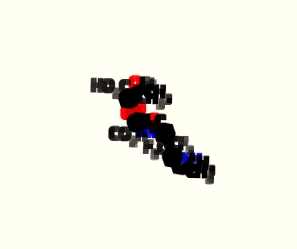 CCC(C)(C)C(=O)c1cc(S(=O)(=O)c2ccc(C(=O)O)c(C(=O)Nc3cc(C(c4ccc5c(c4)NC(C)(C)CC5)(C(F)(F)F)C(F)(F)F)ccc3C)c2)ccc1C(=O)O